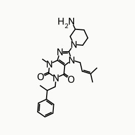 CC(C)=CCn1c(N2CCCC(N)C2)nc2c1c(=O)n(CC(C)c1ccccc1)c(=O)n2C